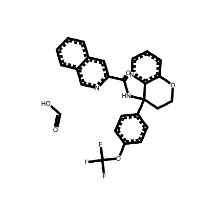 O=C(NC1(c2ccc(OC(F)(F)F)cc2)CCOc2cccnc21)c1cc2ccccc2cn1.O=CO